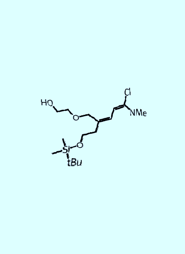 CN/C(Cl)=C\C=C(\CCO[Si](C)(C)C(C)(C)C)COCCO